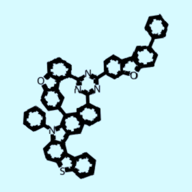 c1ccc(-c2ccc3oc4cc(-c5nc(-c6ccccc6)nc(-c6cccc7oc8ccc(-c9cccc%10c%11c%12c(ccc%11n(-c%11ccccc%11)c9%10)sc9ccccc9%12)cc8c67)n5)ccc4c3c2)cc1